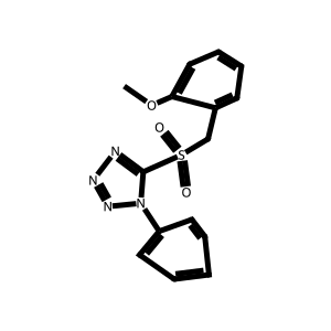 COc1ccccc1CS(=O)(=O)c1nnnn1-c1ccccc1